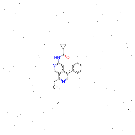 CCc1ncc(-c2ccccc2)c2cc(NC(=O)C3CC3)ncc12